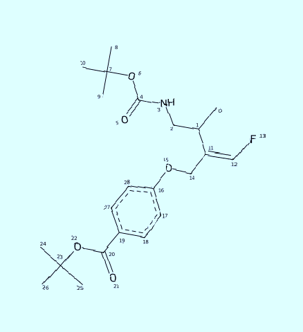 CC(CNC(=O)OC(C)(C)C)/C(=C\F)COc1ccc(C(=O)OC(C)(C)C)cc1